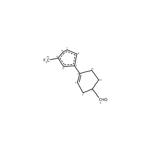 O=CC1CC=C(c2cccc(C(F)(F)F)c2)CC1